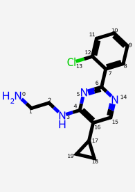 NCCNc1nc(-c2ccccc2Cl)ncc1C1CC1